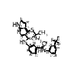 CC(C)Sc1c(CNc2cccc(C(=O)Nc3cccc(C(F)(F)F)c3)c2)cnc2[nH]ccc12